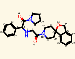 O=C(CNC(C(=O)N1CCCC1)c1ccccc1)N1CCC2(CC1)OCc1ccccc12